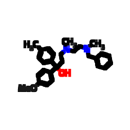 COc1ccc(C(O)(CCN(C)CCN(C)Cc2ccccc2)c2ccc(C)cc2)cc1